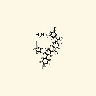 NCCc1cc(F)cc(C(=O)N2CCN(C(=O)c3cnc(O[C@H]4CCNC4)c(-c4ccc(F)cc4)c3)CC2)c1